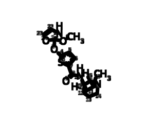 COC1(Oc2ccc(C(=O)N[C@@H]3C4CCN(CC4)[C@H]3C)s2)NC=CO1